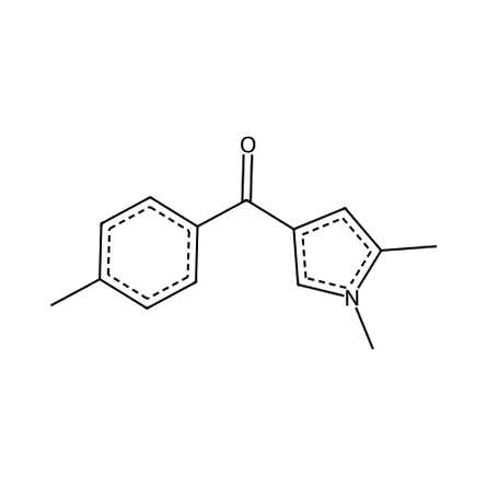 Cc1ccc(C(=O)c2cc(C)n(C)c2)cc1